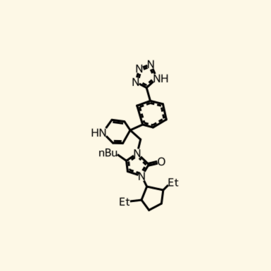 CCCCc1cn(C2C(CC)CCC2CC)c(=O)n1CC1(c2cccc(-c3nnn[nH]3)c2)C=CNC=C1